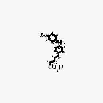 CC(C)(C)c1ccc(NC2CCC(CCC=CC(=O)O)CC2)cc1